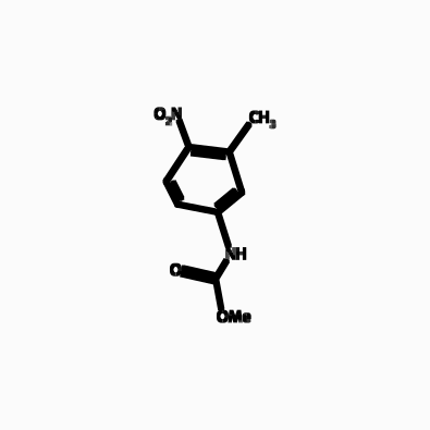 COC(=O)Nc1ccc([N+](=O)[O-])c(C)c1